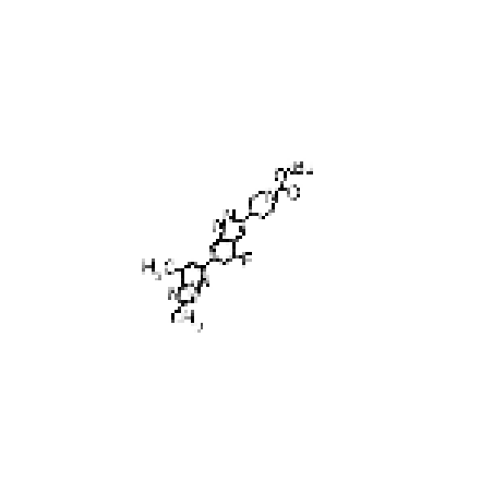 Cc1cn2nc(-c3cc(F)c4cc(C5CCN(C(=O)OC(C)(C)C)CC5)nnc4c3)cc(C)c2n1